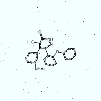 CC(=O)Nc1cncc(-c2c(-c3ccccc3Oc3ccccc3)n[nH]c(=O)c2C)c1